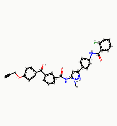 C#CCOc1ccc(C(=O)c2cccc(C(=O)Nc3cc(-c4ccc(NC(=O)c5ccccc5Cl)cc4)nn3C)c2)cc1